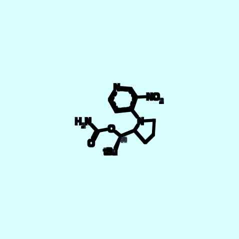 CC(C)(C)[C@@H](OC(N)=O)C1CCCN1c1ccncc1[N+](=O)[O-]